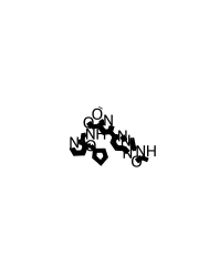 COc1ncc(-c2ccc3nc(NC(C)=O)cn3n2)cc1C(=O)NCc1ncccc1OC1CCCC1